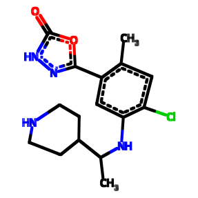 Cc1cc(Cl)c(NC(C)C2CCNCC2)cc1-c1n[nH]c(=O)o1